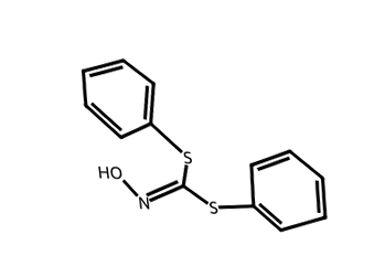 ON=C(Sc1ccccc1)Sc1ccccc1